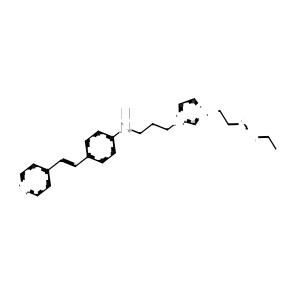 CCSSCC[n+]1ccn(CCCNc2ccc(/C=C/c3ccncc3)cc2)c1